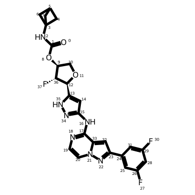 O=C(NC12CC(C1)C2)O[C@H]1CO[C@@H](c2cc(Nc3nccn4nc(-c5cc(F)cc(F)c5)cc34)n[nH]2)[C@@H]1F